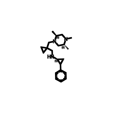 C[C@@H]1CN(CC2(CN[C@H]3CC3c3ccccc3)CC2)[C@@H](C)CN1C